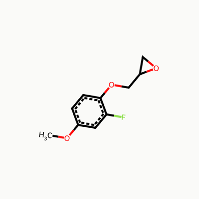 COc1ccc(OCC2CO2)c(F)c1